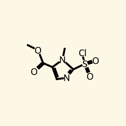 COC(=O)c1cnc(S(=O)(=O)Cl)n1C